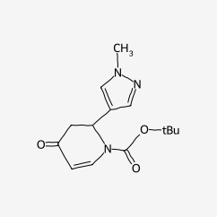 Cn1cc(C2CC(=O)C=CN2C(=O)OC(C)(C)C)cn1